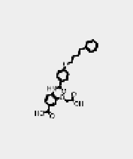 O=C(O)COc1cc(C(=O)O)ccc1NC(=O)c1ccc(OCCCCc2ccccc2)cc1